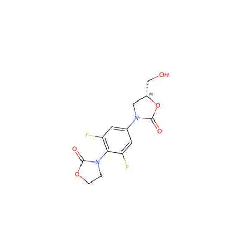 O=C1O[C@@H](CO)CN1c1cc(F)c(N2CCOC2=O)c(F)c1